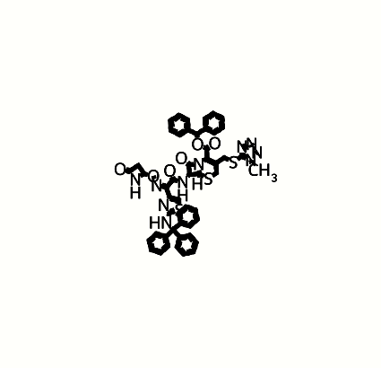 Cn1nnnc1SCC1=C(C(=O)OC(c2ccccc2)c2ccccc2)N2C(=O)C(NC(=O)/C(=N\OC3CC(=O)N3)c3csc(NC(c4ccccc4)(c4ccccc4)c4ccccc4)n3)[C@H]2SC1